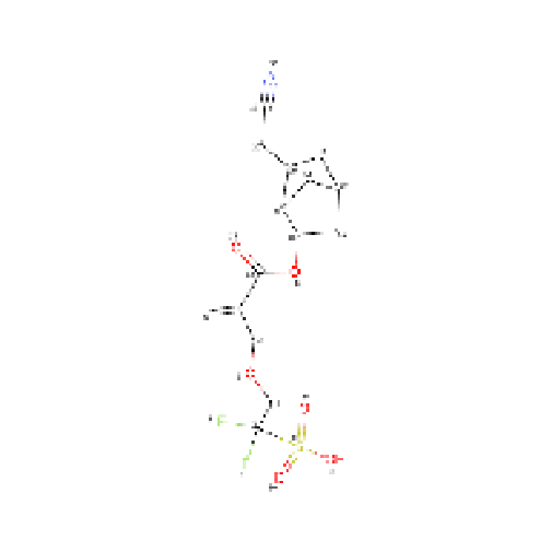 C=C(COCC(F)(F)S(=O)(=O)O)C(=O)OC1CC2CC(CC#N)C1C2